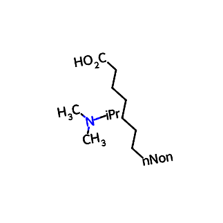 CC(C)N(C)C.CCCCCCCCCCCCCCCC(=O)O